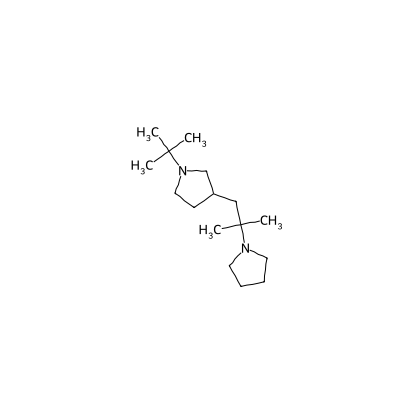 CC(C)(C)N1CCC(CC(C)(C)N2CCCC2)C1